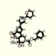 CC(C)(C)C1(O)CN(C(=O)OCc2ccccc2)Cc2c1[nH]c(=O)c1sc(-c3cnn(C4CCCCO4)c3)cc21